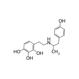 CC(Cc1ccc(O)cc1)NCCc1ccc(O)c(O)c1O